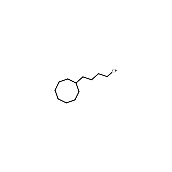 [O]CCCCC1CCCCCCC1